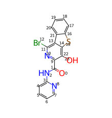 O=C(Nc1ccccn1)c1nc(Br)c2c(sc3ccccc32)c1O